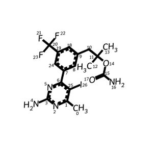 Cc1nc(N)nc(-c2cc(CC(C)(C)OC(N)=O)cc(C(F)(F)F)c2)c1I